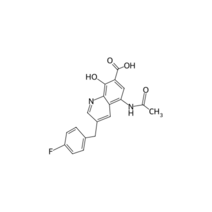 CC(=O)Nc1cc(C(=O)O)c(O)c2ncc(Cc3ccc(F)cc3)cc12